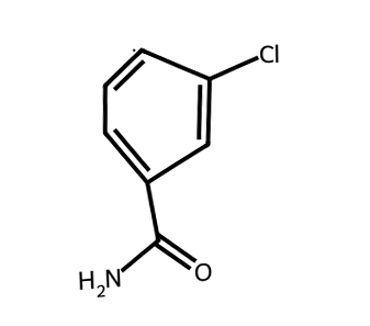 NC(=O)c1cc[c]c(Cl)c1